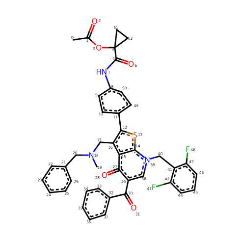 CC(=O)OC1(C(=O)Nc2ccc(-c3sc4c(c3CN(C)Cc3ccccc3)c(=O)c(C(=O)c3ccccc3)cn4Cc3c(F)cccc3F)cc2)CC1